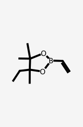 C=CB1OC(C)(C)C(C)(CC)O1